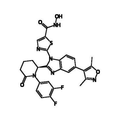 Cc1noc(C)c1-c1ccc2c(c1)nc([C@@H]1CCCC(=O)N1c1ccc(F)c(F)c1)n2-c1ncc(C(=O)NO)s1